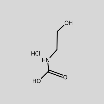 Cl.O=C(O)NCCO